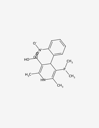 CC1=C(C(=O)O)C(c2ccccc2[N+](=O)[O-])C(P(C)C)=C(C)N1